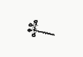 CCCCCCCCCCCCCCCCS[C@@H]1O[C@@H]([C@@H](COC(=O)c2ccccc2)OC(=O)c2ccccc2)[C@H](OC(=O)c2ccccc2)[C@H]1OC(=O)c1ccccc1